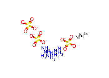 N.N.N.N.N.N.O=S(=O)([O-])[O-].O=S(=O)([O-])[O-].O=S(=O)([O-])[O-].[Ni+3].[Ni+3]